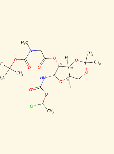 CC(Cl)OC(=O)NC1O[C@@H]2COC(C)(C)O[C@@H]2[C@H]1OC(=O)CN(C)C(=O)OC(C)(C)C